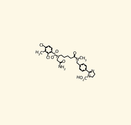 Cc1c(Cl)ccc(S(=O)(=O)N(CCCCC(=O)N(C)Cc2ccc(C3=NCCN3C(=O)O)cc2)CC(N)=O)c1Cl